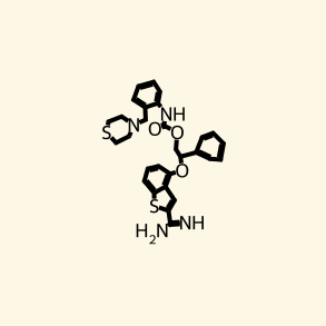 N=C(N)c1cc2c(OC(COC(=O)Nc3ccccc3CN3CCSCC3)c3ccccc3)cccc2s1